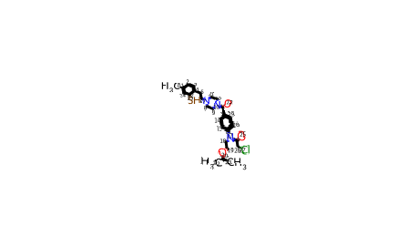 Cc1ccc(CCN2CCN(C(=O)c3ccc(N(CCOC(C)C)C(=O)CCl)cc3)CC2)c(S)c1